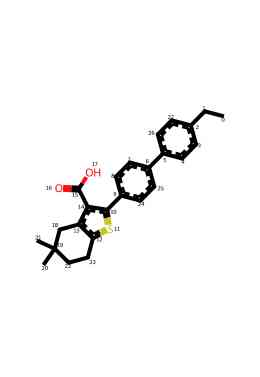 CCc1ccc(-c2ccc(-c3sc4c(c3C(=O)O)CC(C)(C)CC4)cc2)cc1